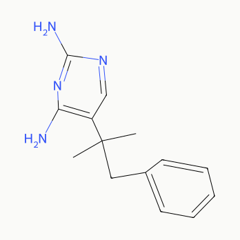 CC(C)(Cc1ccccc1)c1cnc(N)nc1N